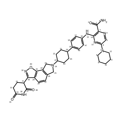 NC(=O)c1ncc(N2CCCCC2)nc1Nc1ccc(C2CCC(N3Cc4ccc5c(C6CCC(=O)NC6=O)noc5c4C3)CC2)cc1